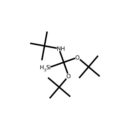 CC(C)(C)NC([SiH3])(OC(C)(C)C)OC(C)(C)C